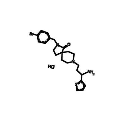 Cl.NC(CCN1CCC2(CC1)CCN(Cc1ccc(Br)cc1)C2=O)c1cccs1